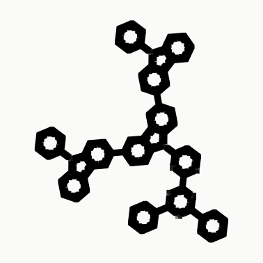 c1ccc(-c2nc(-c3ccccc3)nc(-c3nccc(-n4c5ccc(-c6ccc7c(c6)c6ccccc6n7-c6ccccc6)cc5c5cc(-c6ccc7c(c6)c6ccccc6n7-c6ccccc6)ccc54)n3)n2)cc1